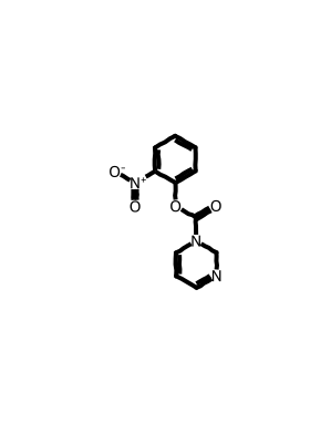 O=C(Oc1ccccc1[N+](=O)[O-])N1C=CC=NC1